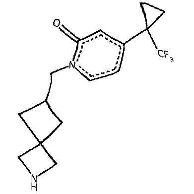 O=c1cc(C2(C(F)(F)F)CC2)ccn1CC1CC2(CNC2)C1